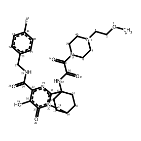 COCCN1CCN(C(=O)C(=O)NC23CCC(CC2)Cn2c3nc(C(=O)NCc3ccc(F)cc3)c(O)c2=O)CC1